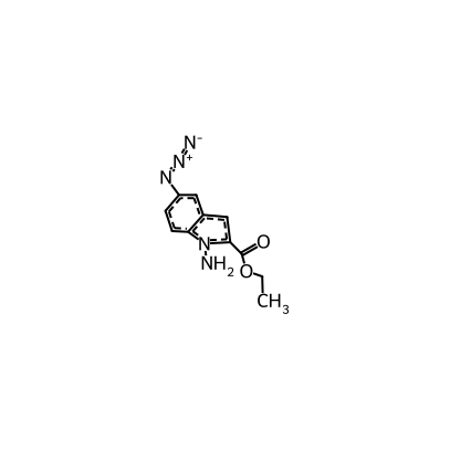 CCOC(=O)c1cc2cc(N=[N+]=[N-])ccc2n1N